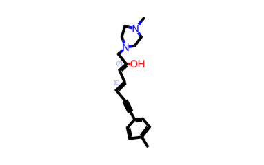 Cc1ccc(C#C/C=C/C=C(\O)CN2CCN(C)CC2)cc1